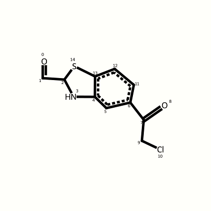 O=CC1Nc2cc(C(=O)CCl)ccc2S1